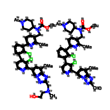 COc1nc(-c2cccc(-c3ccnc(-c4cc(OC)c5nc(C=O)nn5c4)c3Cl)c2Cl)ccc1CN(C(=O)OC(C)(C)C)C1CCN(C(C)=O)CC1.COc1nc(-c2cccc(-c3ccnc(-c4cc(OC)c5nc(CN(C)CCO)nn5c4)c3Cl)c2Cl)ccc1CN(C(=O)OC(C)(C)C)C1CCN(C(C)=O)CC1